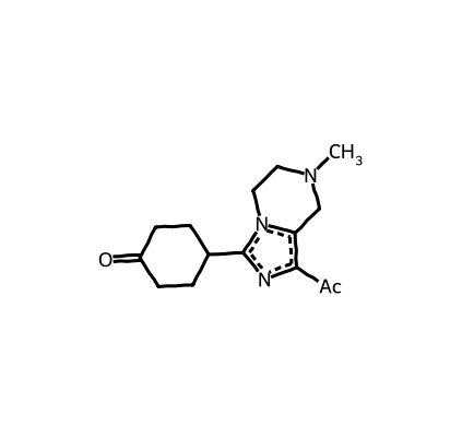 CC(=O)c1nc(C2CCC(=O)CC2)n2c1CN(C)CC2